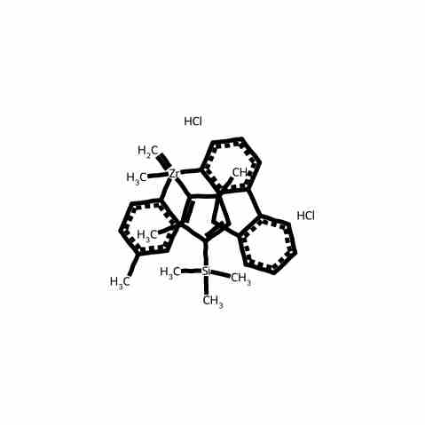 Cl.Cl.[CH2]=[Zr]([CH3])([C]1=C(C)C([Si](C)(C)C)=CC1C)([c]1ccc(C)cc1)[c]1cccc2c1Cc1ccccc1-2